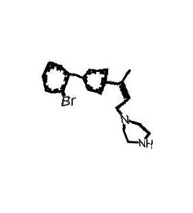 CC(=CCN1CCNCC1)c1ccc(-c2ccccc2Br)cc1